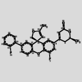 C[C@H]1CC(c2cc(F)c3c(c2)[C@]2(COC(N)=N2)c2cc(-c4cccnc4F)ccc2O3)=CC(=O)O1